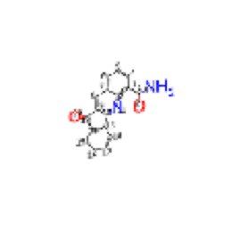 NC(=O)c1cccc2cc3c(nc12)C1=C(CCC=C1)C3=O